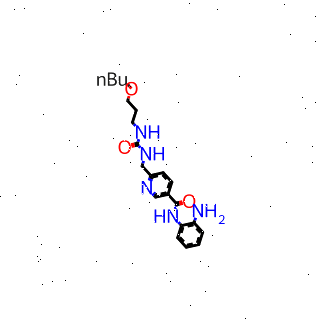 CCCCOCCCNC(=O)NCc1ccc(C(=O)Nc2ccccc2N)cn1